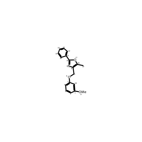 COc1cccc(OCc2nc(-c3ccccc3)oc2C)c1